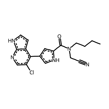 CCCCN(CC#N)C(=O)c1cc(-c2c(Cl)cnc3[nH]ccc23)c[nH]1